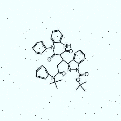 CC(C)(C)OC(=O)n1nc(C(CC(=O)N(c2ccccc2)C(C)(C)C)C2C(=O)Nc3ccccc3N(c3ccccc3)C2=O)c2ccccc21